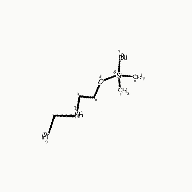 CC(C)CNCCO[Si](C)(C)C(C)(C)C